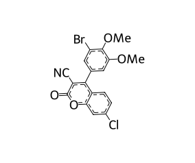 COc1cc(-c2c(C#N)c(=O)oc3cc(Cl)ccc23)cc(Br)c1OC